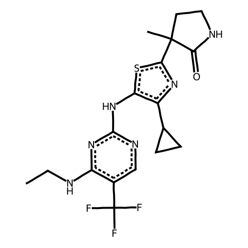 CCNc1nc(Nc2sc(C3(C)CCNC3=O)nc2C2CC2)ncc1C(F)(F)F